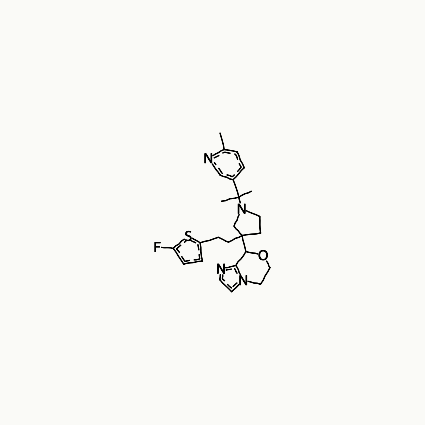 Cc1ccc(C(C)(C)N2CCC(CCc3ccc(F)s3)(C3OCCn4ccnc43)C2)cn1